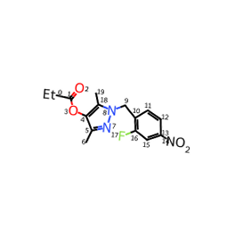 CCC(=O)Oc1c(C)nn(Cc2ccc([N+](=O)[O-])cc2F)c1C